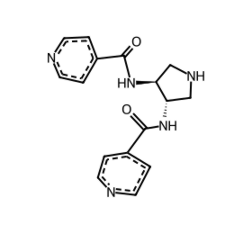 O=C(N[C@H]1CNC[C@@H]1NC(=O)c1ccncc1)c1ccncc1